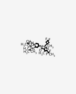 Cc1c(C(C)(F)F)nn(CC2(C)CC(F)(F)C2)c1C(=O)Nc1ccnc(SN(C(=O)OC(C)(C)C)C(C)(C)C)c1